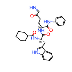 N=CC(=O)CC[C@H](NC(=O)[C@H](Cc1c[nH]c2ccccc12)NC(=O)C1CCCCC1)C(=O)Nc1ccccc1